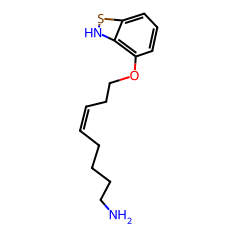 NCCCC/C=C\CCOc1cccc2s[nH]c12